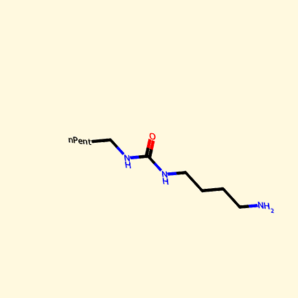 CCCCCCNC(=O)NCCCCN